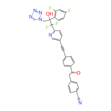 N#Cc1ccc(CC(=O)c2ccc(C#Cc3ccc(C(F)(F)C(O)(Cn4cnnn4)c4ccc(F)cc4F)nc3)cc2)cc1